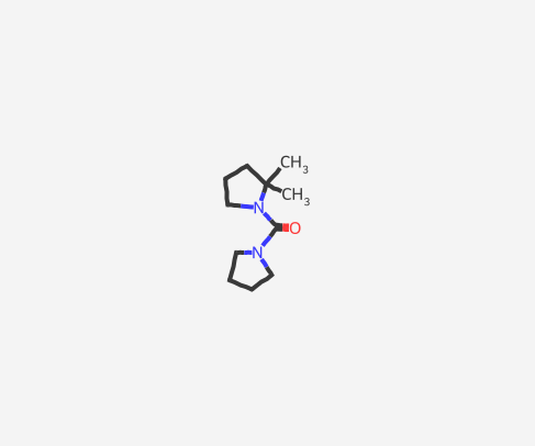 CC1(C)CCCN1C(=O)N1CCCC1